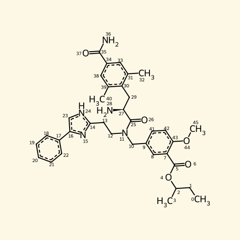 CCC(C)OC(=O)c1cc(CN(CCc2nc(-c3ccccc3)c[nH]2)C(=O)[C@@H](N)Cc2c(C)cc(C(N)=O)cc2C)ccc1OC